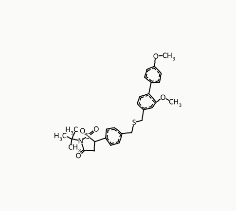 COc1ccc(-c2ccc(CSCc3ccc(C4CC(=O)N(C(C)(C)C)S4(=O)=O)cc3)cc2OC)cc1